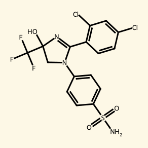 NS(=O)(=O)c1ccc(N2CC(O)(C(F)(F)F)N=C2c2ccc(Cl)cc2Cl)cc1